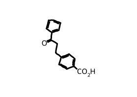 O=C(O)c1ccc(CCC(=O)c2ccccc2)cc1